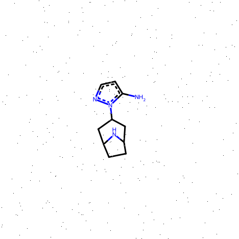 Nc1ccnn1C1CC2CCC(C1)N2